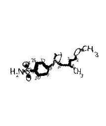 COCCC(C)CNc1ccc(S(N)(=O)=O)cc1